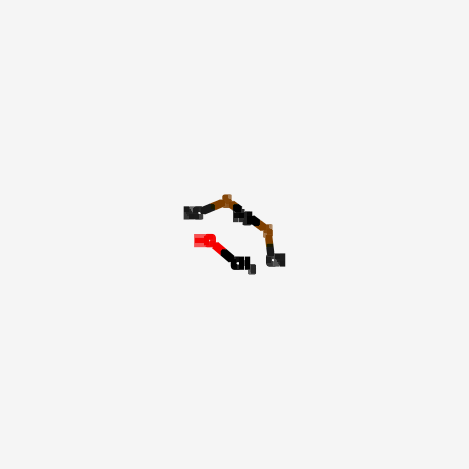 CO.N#C[S][Hg][S]C#N